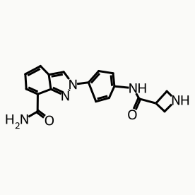 NC(=O)c1cccc2cn(-c3ccc(NC(=O)C4CNC4)cc3)nc12